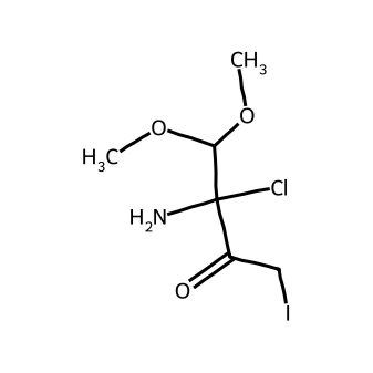 COC(OC)C(N)(Cl)C(=O)CI